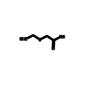 [NH]C(=O)CSCC=O